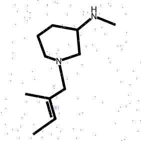 C/C=C(\C)CN1CCCC(NC)C1